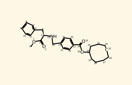 COC(=O)[C@@H](Cc1ccccc1)NCc1ccc(C(=O)OC2CCCCCCCC2)cc1